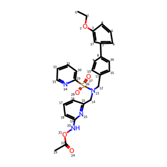 CCOc1cccc(-c2ccc(CN(Cc3cccc(NOC(C)=O)n3)S(=O)(=O)c3ccccn3)cc2)c1